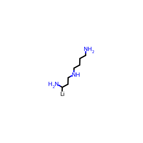 [Li][CH](N)CCNCCCCN